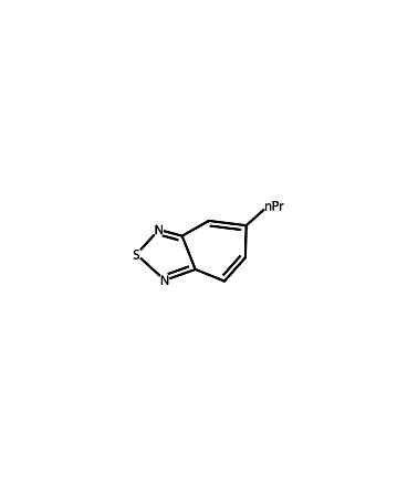 CCCc1ccc2nsnc2c1